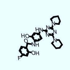 O=C(Nc1ccc(Nc2nc(N3CCCCC3)nc(N3CCCCC3)n2)cc1O)c1ccc(F)cc1O